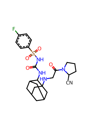 N#CC1CCCN1C(=O)CNC12CC3CC(CC(C3)C1NC(=O)NS(=O)(=O)c1ccc(F)cc1)C2